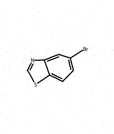 Brc1ccc2s[c]nc2c1